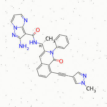 C[C@@H](NC(=O)c1c(N)nn2cccnc12)c1cc2cccc(C#Cc3cnn(C)c3)c2c(=O)n1-c1ccccc1